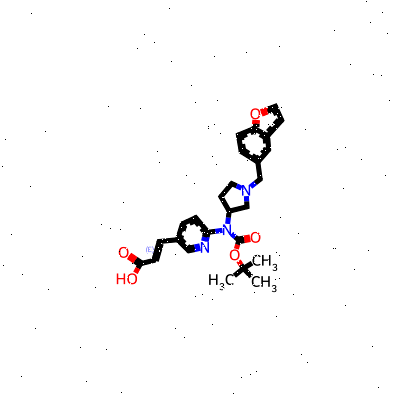 CC(C)(C)OC(=O)N(c1ccc(/C=C/C(=O)O)cn1)C1CCN(Cc2ccc3occc3c2)C1